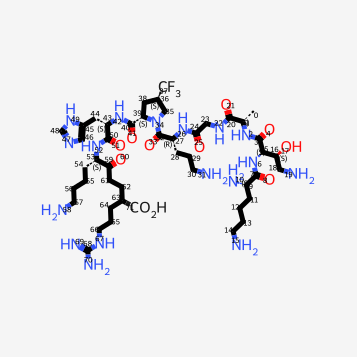 C[C@H](NC(=O)[C@@H](NC(=O)[C@@H](N)CCCCN)[C@@H](O)CN)C(=O)NCC(=O)N[C@H](CCCN)C(=O)N1C[C@@H](C(F)(F)F)C[C@H]1C(=O)N[C@@H](Cc1cnc[nH]1)C(=O)N[C@@H](CCCCN)C(=O)CCC(CCCNC(=N)N)C(=O)O